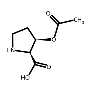 CC(=O)O[C@@H]1CCN[C@@H]1C(=O)O